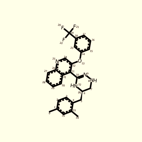 Cc1ccc(C[C@@H]2CNN=C(c3c(Oc4cccc(C(F)(F)F)c4)cnc4ccccc34)N2)c(C)c1